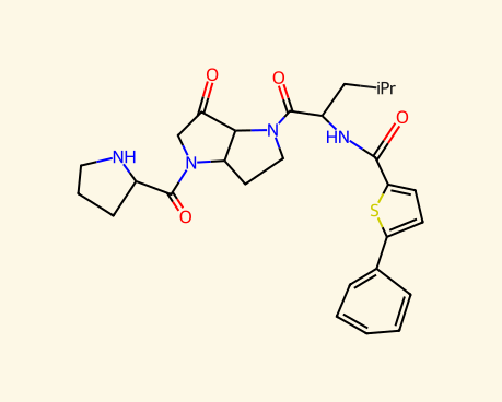 CC(C)CC(NC(=O)c1ccc(-c2ccccc2)s1)C(=O)N1CCC2C1C(=O)CN2C(=O)C1CCCN1